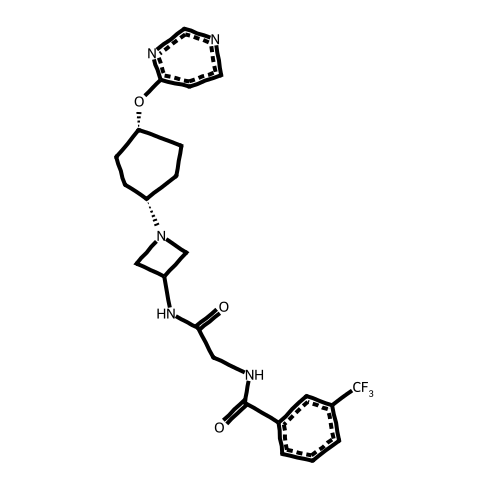 O=C(CNC(=O)c1cccc(C(F)(F)F)c1)NC1CN([C@H]2CC[C@@H](Oc3ccncn3)CC2)C1